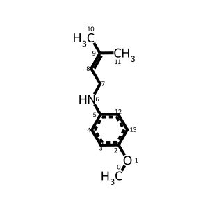 COc1ccc(NCC=C(C)C)cc1